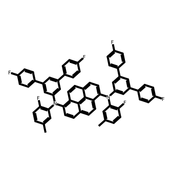 Cc1ccc(F)c(N(c2cc(-c3ccc(F)cc3)cc(-c3ccc(F)cc3)c2)c2ccc3ccc4c(N(c5cc(-c6ccc(F)cc6)cc(-c6ccc(F)cc6)c5)c5cc(C)ccc5F)ccc5ccc2c3c54)c1